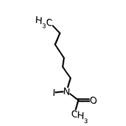 CCCCCCN(I)C(C)=O